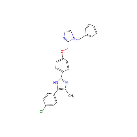 Cc1nc(-c2ccc(OCc3nccn3Cc3ccccc3)cc2)[nH]c1-c1ccc(Cl)cc1